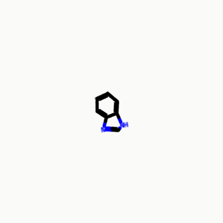 [c]1[c]cc2[nH]cnc2c1